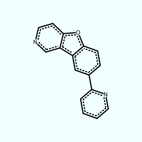 c1ccc(-c2ccc3oc4ccncc4c3c2)nc1